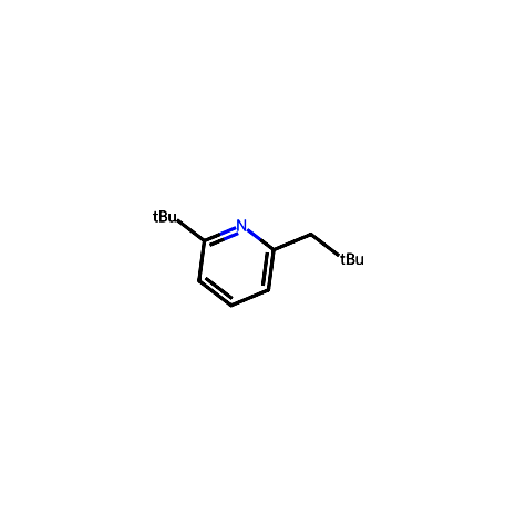 CC(C)(C)Cc1cccc(C(C)(C)C)n1